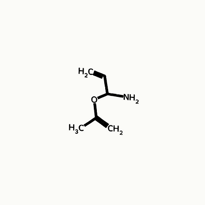 C=CC(N)OC(=C)C